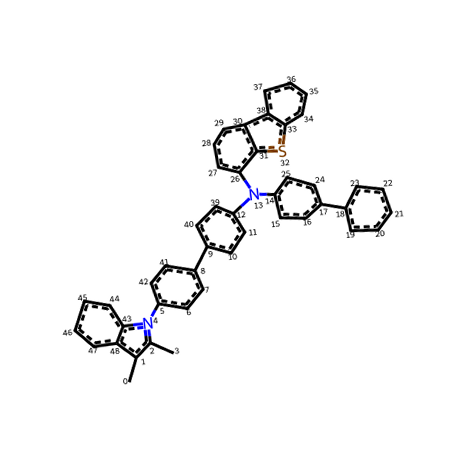 Cc1c(C)n(-c2ccc(-c3ccc(N(c4ccc(-c5ccccc5)cc4)c4cccc5c4sc4ccccc45)cc3)cc2)c2ccccc12